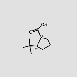 CC(C)(C)[C@@H]1CCC[C@@H]1C(=O)O